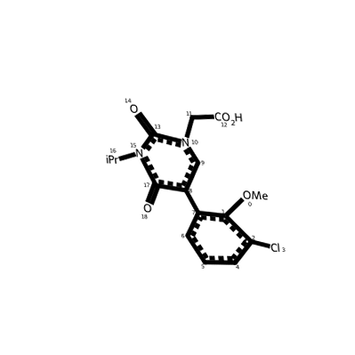 COc1c(Cl)cccc1-c1cn(CC(=O)O)c(=O)n(C(C)C)c1=O